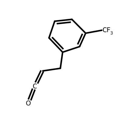 O=C=CCc1cccc(C(F)(F)F)c1